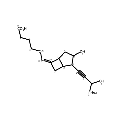 CCCCCCC(O)C#CC1C(O)CC2C(=NOCCCC(=O)O)CC21